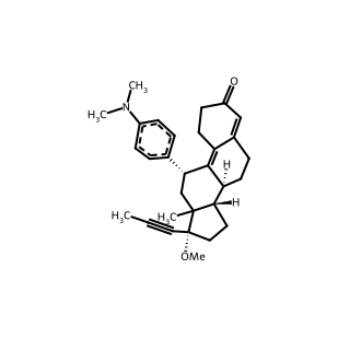 CC#C[C@]1(OC)CC[C@H]2[C@@H]3CCC4=CC(=O)CCC4=C3[C@@H](c3ccc(N(C)C)cc3)CC21C